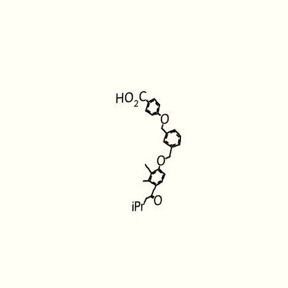 Cc1c(OCc2cccc(COc3ccc(C(=O)O)cc3)c2)ccc(C(=O)CC(C)C)c1C